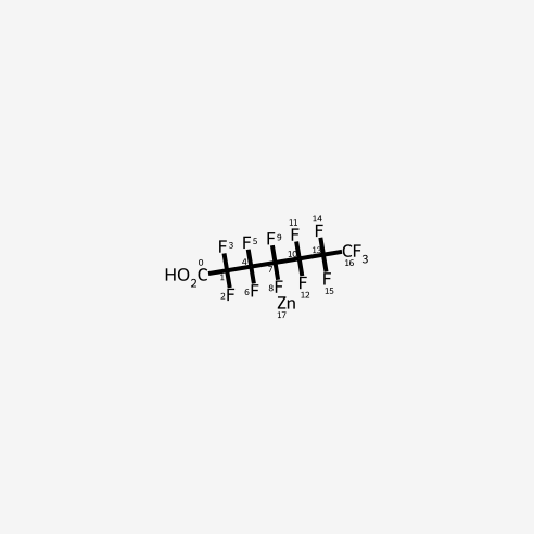 O=C(O)C(F)(F)C(F)(F)C(F)(F)C(F)(F)C(F)(F)C(F)(F)F.[Zn]